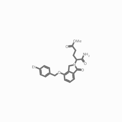 CCc1ccc(COc2cccc3c2CN(C(CCC(=O)OC)C(N)=O)C3=O)cc1